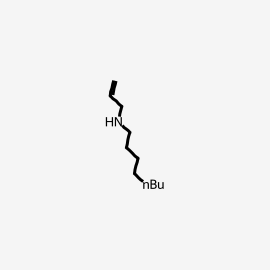 C=CCNCCCCCCCC